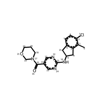 Cc1c(Cl)ccc2c1CC(Nc1ncc(C(=O)N3CCCOC3)cn1)C2